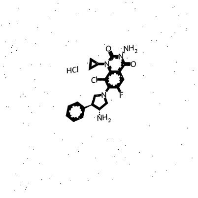 Cl.N[C@H]1CN(c2c(F)cc3c(=O)n(N)c(=O)n(C4CC4)c3c2Cl)C[C@@H]1c1ccccc1